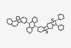 c1ccc(-c2sc3cc4c(cc3c2-c2ccccc2)sc2ccc(-c3c5ccccc5c(-c5ccc6oc7c8ccccc8ccc7c6c5)c5ccccc35)cc24)cc1